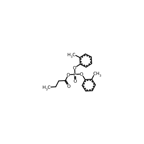 CCCC(=O)OP(=O)(Oc1ccccc1C)Oc1ccccc1C